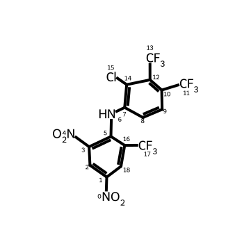 O=[N+]([O-])c1cc([N+](=O)[O-])c(Nc2ccc(C(F)(F)F)c(C(F)(F)F)c2Cl)c(C(F)(F)F)c1